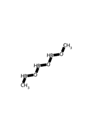 CBOBOBOC